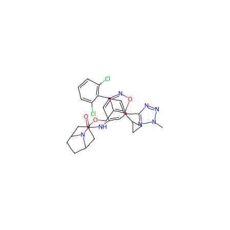 Cn1nnc(-c2cccc(NC(=O)N3C4CCC3CC(OCc3c(-c5c(Cl)cccc5Cl)noc3C3CC3)C4)c2)n1